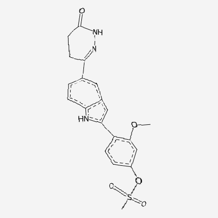 COc1cc(OS(C)(=O)=O)ccc1-c1cc2cc(C3=NNC(=O)CC3)ccc2[nH]1